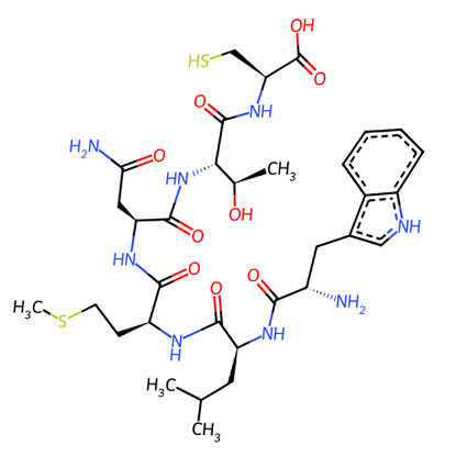 CSCC[C@H](NC(=O)[C@H](CC(C)C)NC(=O)[C@@H](N)Cc1c[nH]c2ccccc12)C(=O)N[C@@H](CC(N)=O)C(=O)N[C@H](C(=O)N[C@@H](CS)C(=O)O)[C@@H](C)O